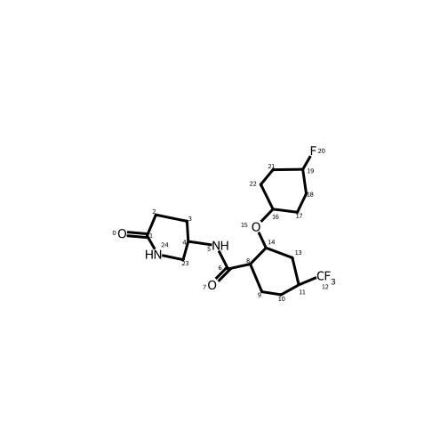 O=C1CCC(NC(=O)C2CCC(C(F)(F)F)CC2OC2CCC(F)CC2)CN1